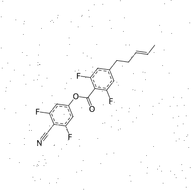 CC=CCCc1cc(F)c(C(=O)Oc2cc(F)c(C#N)c(F)c2)c(F)c1